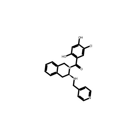 O=C(c1cc(Cl)c(O)cc1O)N1Cc2ccccc2C[C@@H]1NCc1ccncc1